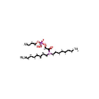 CCCCCCCCP(CCCCCCCC)C(=O)COP(=O)(O)OCCCC